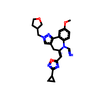 COc1ccc2c(c1)-c1nn(CC3CCOC3)cc1C/C(=C\c1nc(C3CC3)no1)N2C=N